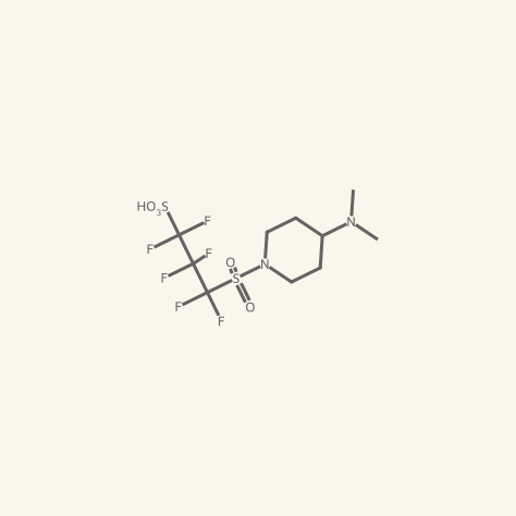 CN(C)C1CCN(S(=O)(=O)C(F)(F)C(F)(F)C(F)(F)S(=O)(=O)O)CC1